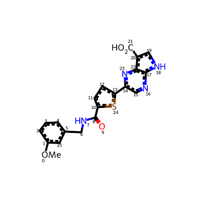 COc1cccc(CNC(=O)c2ccc(-c3cnc4[nH]cc(C(=O)O)c4n3)s2)c1